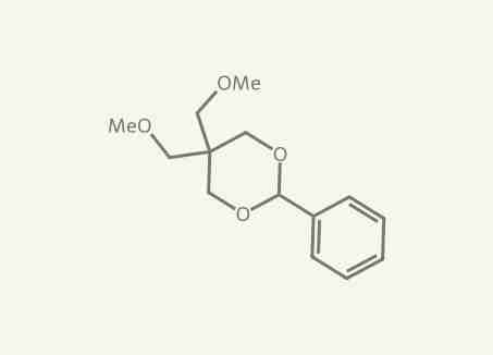 COCC1(COC)COC(c2ccccc2)OC1